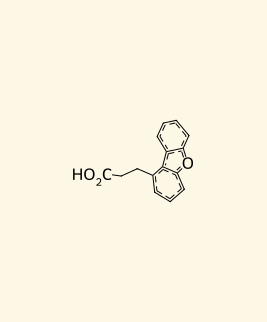 O=C(O)CCc1cccc2oc3ccccc3c12